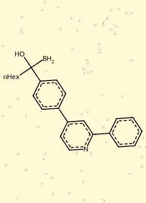 BC(O)(CCCCCC)c1ccc(-c2ccnc(-c3ccccc3)c2)cc1